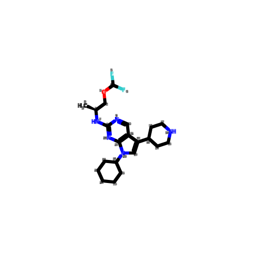 C[C@@H](COC(F)F)Nc1ncc2c(C3CCNCC3)cn(C3CCCCC3)c2n1